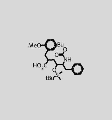 COc1ccccc1CC(CC(O[Si](C)(C)C(C)(C)C)C(Cc1ccccc1)NC(=O)OC(C)(C)C)C(=O)O